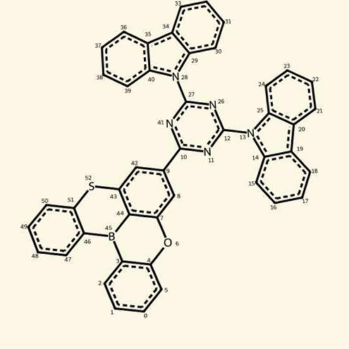 c1ccc2c(c1)Oc1cc(-c3nc(-n4c5ccccc5c5ccccc54)nc(-n4c5ccccc5c5ccccc54)n3)cc3c1B2c1ccccc1S3